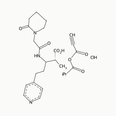 C#CC(=O)OC(=O)C(C)C.C[C@@H](C(=O)O)C(CCc1ccncc1)NC(=O)CN1CCCCC1=O.Cl